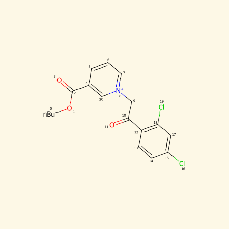 CCCCOC(=O)c1ccc[n+](CC(=O)c2ccc(Cl)cc2Cl)c1